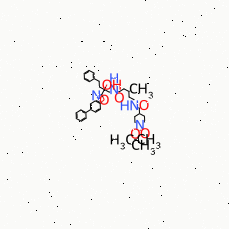 CC(CCNC(=O)C1CCN(C(=O)OC(C)(C)C)CC1)CC(=O)NCC(O)(CCc1ccccc1)c1nc2cc(-c3ccccc3)ccc2o1